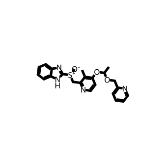 Cc1c(OC(C)OCc2ccccn2)ccnc1C[S+]([O-])c1nc2ccccc2[nH]1